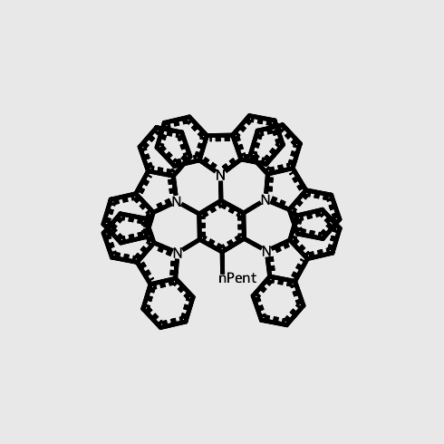 CCCCCc1c(-n2c3ccccc3c3ccccc32)c(-n2c3ccccc3c3ccccc32)c(-n2c3ccccc3c3ccccc32)c(-n2c3ccccc3c3ccccc32)c1-n1c2ccccc2c2ccccc21